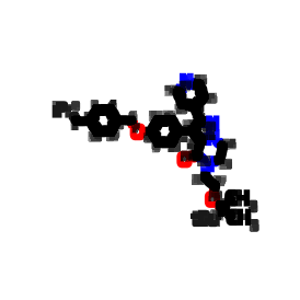 CC(C)Cc1ccc(COc2ccc(-c3c(-c4ccncc4)nn4c3C(=O)N(CCO[Si](C)(C)C(C)(C)C)CC4)cc2)cc1